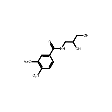 COc1cc(C(=O)NCC(O)CO)ccc1[N+](=O)[O-]